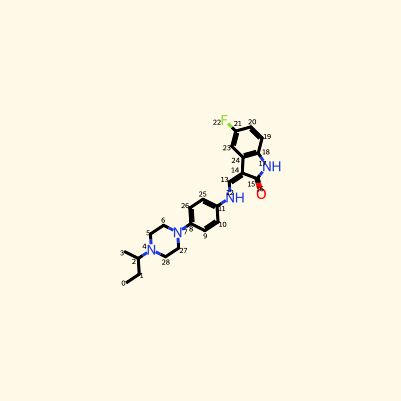 CCC(C)N1CCN(c2ccc(NC=C3C(=O)Nc4ccc(F)cc43)cc2)CC1